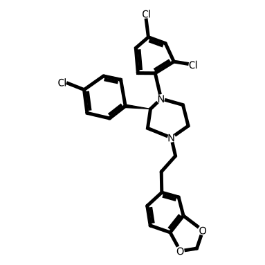 Clc1ccc([C@@H]2CN(CCc3ccc4c(c3)OCO4)CCN2c2ccc(Cl)cc2Cl)cc1